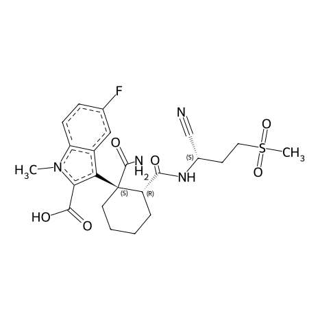 Cn1c(C(=O)O)c([C@]2(C(N)=O)CCCC[C@H]2C(=O)N[C@H](C#N)CCS(C)(=O)=O)c2cc(F)ccc21